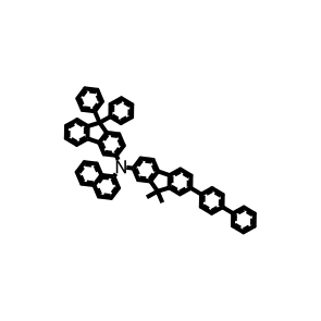 CC1(C)c2cc(-c3ccc(-c4ccccc4)cc3)ccc2-c2ccc(N(c3ccc4c(c3)-c3ccccc3C4(c3ccccc3)c3ccccc3)c3cccc4ccccc34)cc21